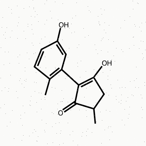 Cc1ccc(O)cc1C1=C(O)CC(C)C1=O